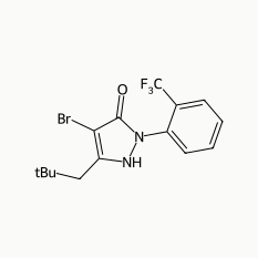 CC(C)(C)Cc1[nH]n(-c2ccccc2C(F)(F)F)c(=O)c1Br